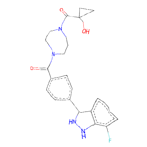 O=C(c1ccc(C2NNc3c(F)cccc32)cc1)N1CCN(C(=O)C2(O)CC2)CC1